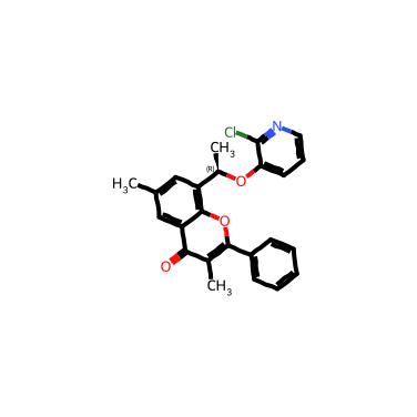 Cc1cc([C@@H](C)Oc2cccnc2Cl)c2oc(-c3ccccc3)c(C)c(=O)c2c1